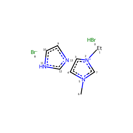 Br.CC[n+]1ccn(C)c1.[Br-].c1c[nH]cn1